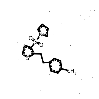 Cc1ccc(CCc2sccc2S(=O)(=O)n2cccc2)cc1